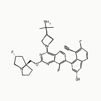 C#Cc1c(F)ccc2cc(O)cc(-c3ccc4c(N5CC(C(C)(C)N)C5)nc(OC[C@@]56CCCN5C[C@H](F)C6)nc4c3F)c12